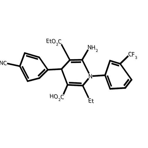 CCOC(=O)C1=C(N)N(c2cccc(C(F)(F)F)c2)C(CC)=C(C(=O)O)C1c1ccc(C#N)cc1